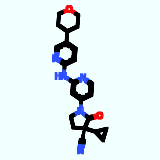 N#C[C@@]1(C2CC2)CCN(c2ccnc(Nc3ccc(C4CCOCC4)cn3)c2)C1=O